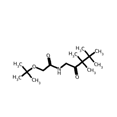 CC(C)(C)OCC(=O)NCC(=O)C(C)(C)C(C)(C)C